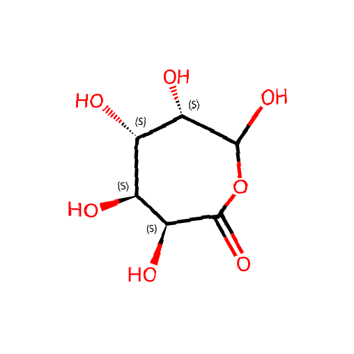 O=C1OC(O)[C@@H](O)[C@@H](O)[C@H](O)[C@@H]1O